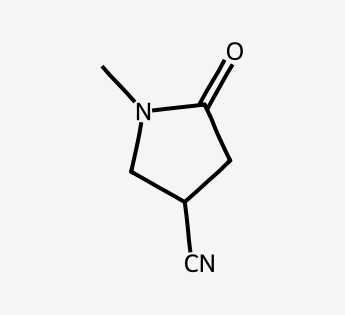 CN1CC(C#N)CC1=O